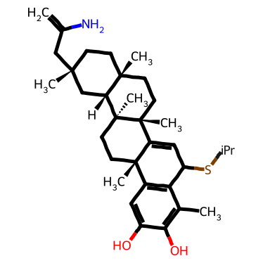 C=C(N)C[C@]1(C)CC[C@]2(C)CC[C@]3(C)C4=CC(SC(C)C)c5c(cc(O)c(O)c5C)[C@]4(C)CC[C@@]3(C)[C@@H]2C1